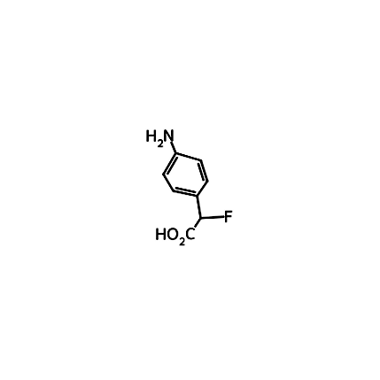 Nc1ccc(C(F)C(=O)O)cc1